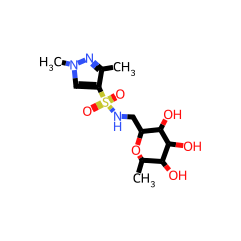 Cc1nn(C)cc1S(=O)(=O)NCC1OC(C)C(O)C(O)C1O